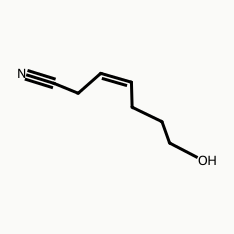 N#CC/C=C\CCCO